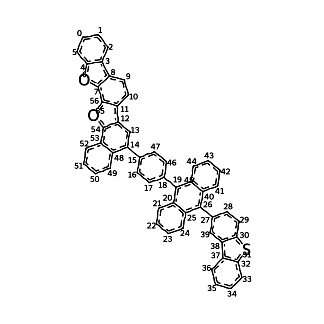 c1ccc2c(c1)oc1c2ccc2c3cc(-c4ccc(-c5c6ccccc6c(-c6ccc7sc8ccccc8c7c6)c6ccccc56)cc4)c4ccccc4c3oc21